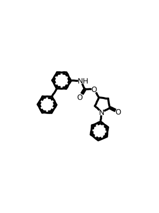 O=C(Nc1cccc(-c2ccccc2)c1)OC1CC(=O)N(c2ccccc2)C1